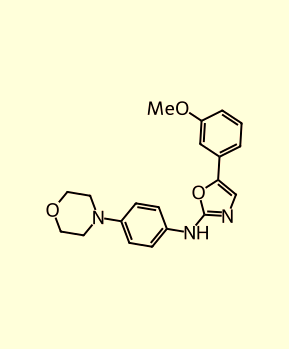 COc1cccc(-c2cnc(Nc3ccc(N4CCOCC4)cc3)o2)c1